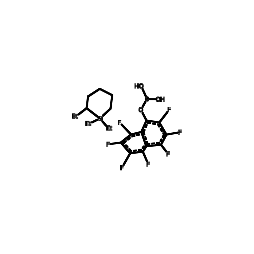 CCC1CCCC[Si]1(CC)CC.OB(O)Oc1c(F)c(F)c(F)c2c(F)c(F)c(F)c(F)c12